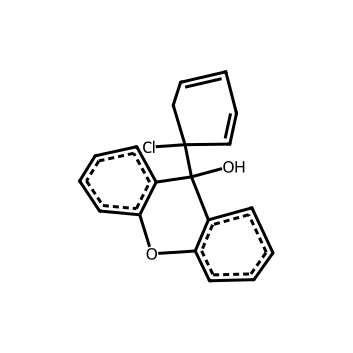 OC1(C2(Cl)C=CC=CC2)c2ccccc2Oc2ccccc21